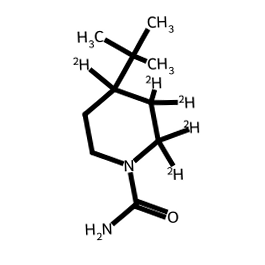 [2H]C1([2H])N(C(N)=O)CCC([2H])(C(C)(C)C)C1([2H])[2H]